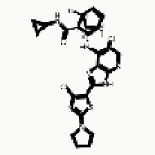 O=C(NC1CC1)[C@@H]1[C@@H](Nc2c(Cl)cnc3[nH]c(-c4sc(N5CCCC5)nc4Cl)nc23)[C@@H]2C=C[C@@H]1C2